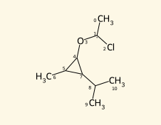 C[C](Cl)OC1C(C)C1C(C)C